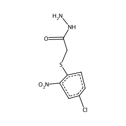 NNC(=O)CSc1ccc(Cl)cc1[N+](=O)[O-]